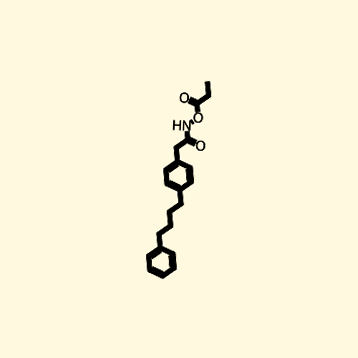 CCC(=O)ONC(=O)Cc1ccc(CCCCc2ccccc2)cc1